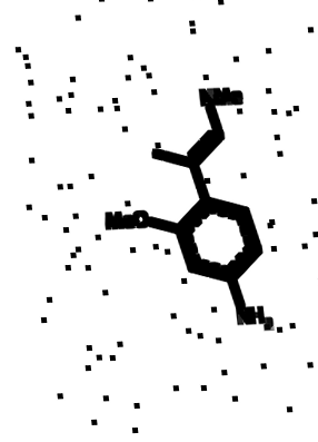 CN/C=C(\C)c1ccc(N)cc1OC